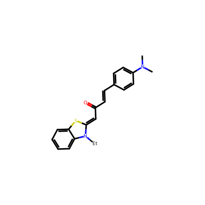 CCN1/C(=C/C(=O)/C=C/c2ccc(N(C)C)cc2)Sc2ccccc21